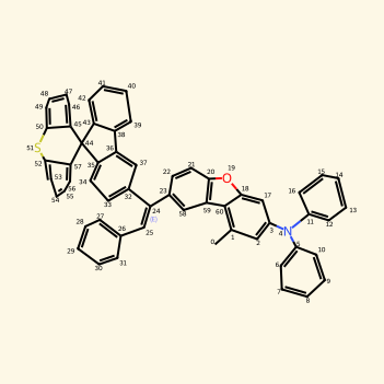 Cc1cc(N(c2ccccc2)c2ccccc2)cc2oc3ccc(/C(=C/c4ccccc4)c4ccc5c(c4)-c4ccccc4C54c5ccccc5Sc5ccccc54)cc3c12